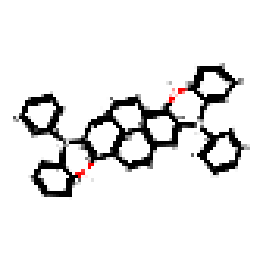 c1ccc(B2c3ccccc3Oc3c2cc2ccc4c5c(cc6ccc3c2c64)B(c2ccccc2)c2ccccc2O5)cc1